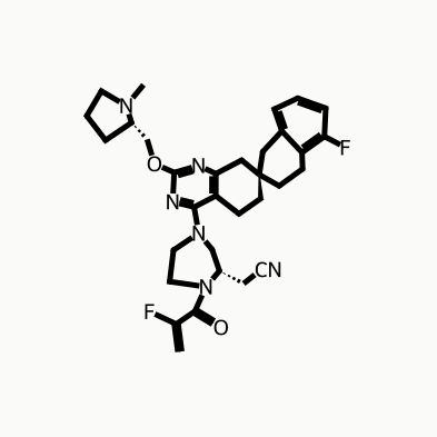 C=C(F)C(=O)N1CCN(c2nc(OC[C@@H]3CCCN3C)nc3c2CC[C@@]2(CCc4c(F)cccc4C2)C3)C[C@@H]1CC#N